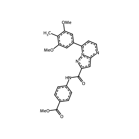 COC(=O)c1ccc(NC(=O)c2cc3nccc(-c4cc(OC)c(C)c(OC)c4)n3n2)cc1